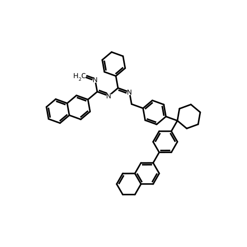 C=N/C(=N\C(=N/Cc1ccc(C2(c3ccc(-c4ccc5c(c4)C=CCC5)cc3)CCCCC2)cc1)C1=CCCC=C1)c1ccc2ccccc2c1